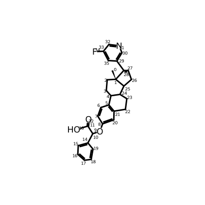 C[C@]12CCC3c4ccc(OC(C(=O)O)c5ccccc5)cc4CCC3C1CC=C2c1cncc(F)c1